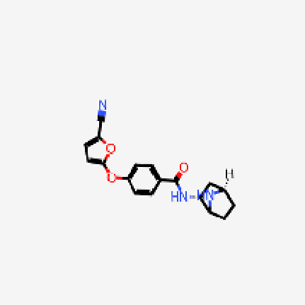 N#Cc1ccc(Oc2ccc(C(=O)N[C@@H]3C[C@H]4CCC3N4)cc2)o1